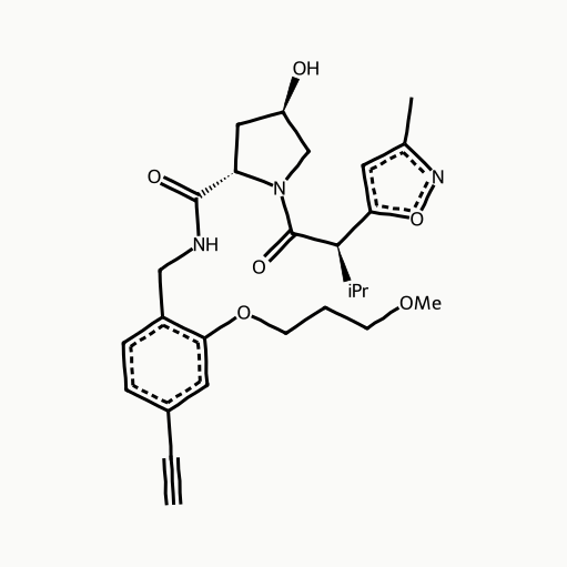 C#Cc1ccc(CNC(=O)[C@@H]2C[C@@H](O)CN2C(=O)[C@@H](c2cc(C)no2)C(C)C)c(OCCCOC)c1